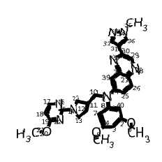 COc1cc(OC)cc(N(CC2CCN(c3nccc(OC)n3)C2)c2ccc3ncc(-c4cnn(C)c4)nc3c2)c1